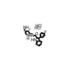 Cl.Cl.NC[C@@H]1CN[C@H](CNC(=O)c2[nH]c3ccccc3c2-c2ccc(F)cc2)C1